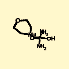 C1COCCN1.NP(N)(=O)O